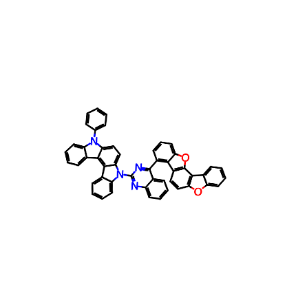 c1ccc(-n2c3ccccc3c3c4c5ccccc5n(-c5nc(-c6cccc7oc8c(ccc9oc%10ccccc%10c98)c67)c6ccccc6n5)c4ccc32)cc1